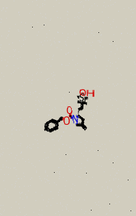 C=C1C[C@@H](CCC(C)(C)[Si](C)(C)O)N(C(=O)OCc2ccccc2)C1